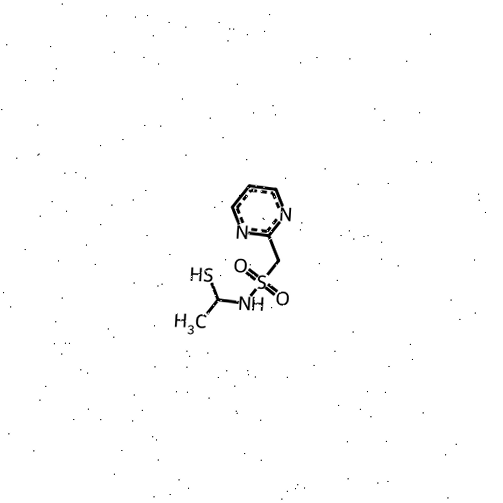 CC(S)NS(=O)(=O)Cc1ncccn1